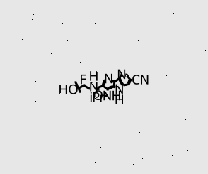 CC(C)Nc1c(C(=O)NCC(F)C(C)(C)O)cnc2c1[nH]c1cc(C#N)cnc12